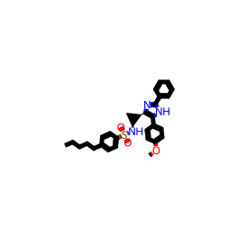 CCCCCc1ccc(S(=O)(=O)N[C@H]2C[C@@H]2c2nc(-c3ccccc3)[nH]c2-c2ccc(OC)cc2)cc1